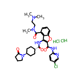 CN(C)CCN(C)C(=O)c1cccc2oc(C(=O)Nc3ccc(Cl)cn3)c(NC(=O)[C@H]3CC[C@H](N4CCCC4=O)CC3)c12.Cl.Cl